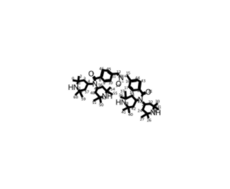 CC1(C)CC(N(C(=O)c2ccc(C=[N+]([O-])Cc3ccc(C(=O)N(C4CC(C)(C)NC(C)(C)C4)C4CC(C)(C)NC(C)(C)C4)cc3)cc2)C2CC(C)(C)NC(C)(C)C2)CC(C)(C)N1